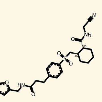 N#CCNC(=O)[C@@H]1CCCC[C@H]1CS(=O)(=O)c1ccc(CCC(=O)NCc2ccco2)cc1